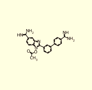 CC(=O)On1c(-c2cccc(-c3ccc(C(=N)N)cc3)c2)nc2cc(C(=N)N)ccc21